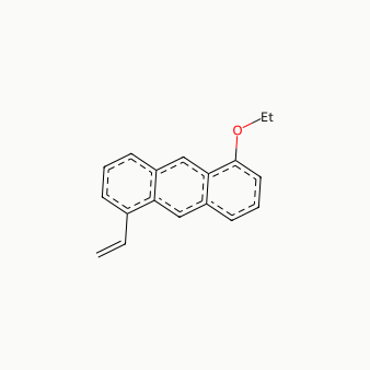 C=Cc1cccc2cc3c(OCC)cccc3cc12